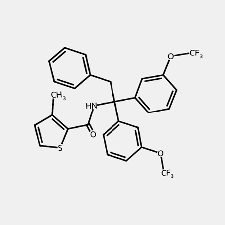 Cc1ccsc1C(=O)NC(Cc1ccccc1)(c1cccc(OC(F)(F)F)c1)c1cccc(OC(F)(F)F)c1